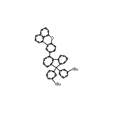 CC(C)(C)c1cccc(C2(c3cccc(C(C)(C)C)c3)c3ccccc3-c3c(-c4ccc5c(c4)-c4cccc6cccc(c46)O5)cccc32)c1